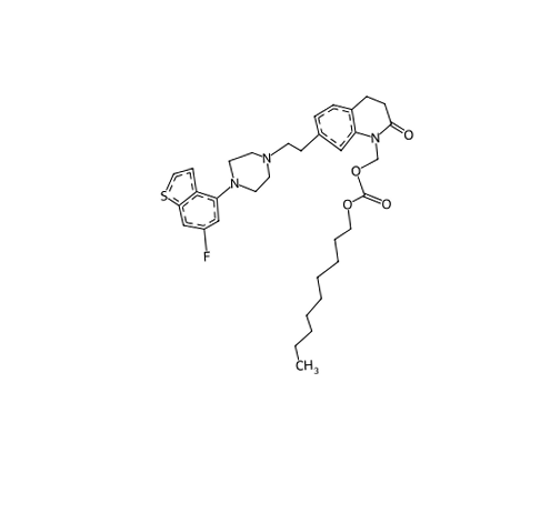 CCCCCCCCCOC(=O)OCN1C(=O)CCc2ccc(CCN3CCN(c4cc(F)cc5sccc45)CC3)cc21